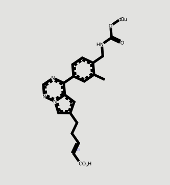 Cc1cc(-c2ncnn3cc(CC/C=C/C(=O)O)cc23)ccc1CNC(=O)OC(C)(C)C